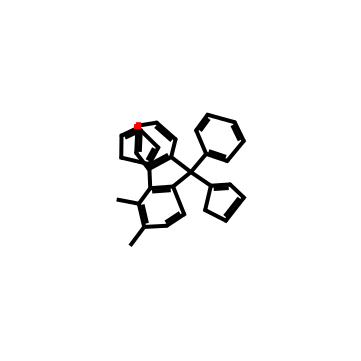 Cc1ccc(C(C2=CC=CC2)(c2ccccc2)c2ccccc2)c(C2=CC=CC2)c1C